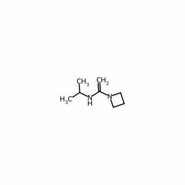 C=C(NC(C)C)N1CCC1